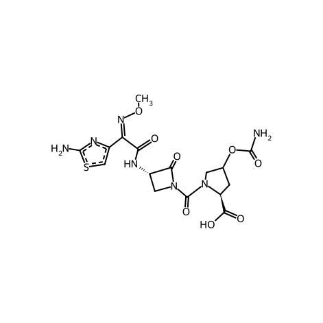 CO/N=C(\C(=O)N[C@H]1CN(C(=O)N2CC(OC(N)=O)C[C@H]2C(=O)O)C1=O)c1csc(N)n1